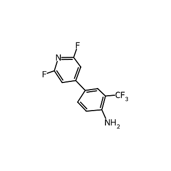 Nc1ccc(-c2cc(F)nc(F)c2)cc1C(F)(F)F